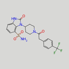 NS(=O)(=O)c1cccc2[nH]c(=O)n(C3CCN(C(=O)Cc4ccc(C(F)(F)F)cc4)CC3)c12